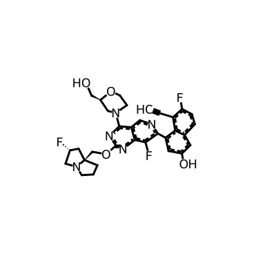 C#Cc1c(F)ccc2cc(O)cc(-c3ncc4c(N5CCO[C@H](CO)C5)nc(OC[C@@]56CCCN5C[C@H](F)C6)nc4c3F)c12